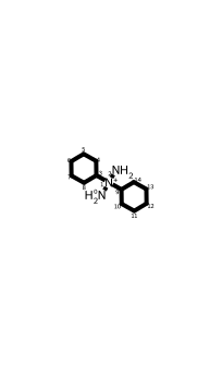 N[N+](N)(C1CCCCC1)C1CCCCC1